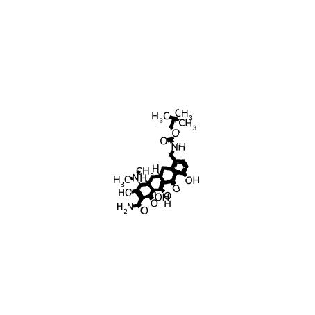 CN(C)[C@H]1C(O)=C(C(N)=O)C(=O)[C@]2(O)C(O)=C3C(=O)c4c(O)ccc(CNC(=O)OCC(C)(C)C)c4C[C@@H]3C[C@H]12